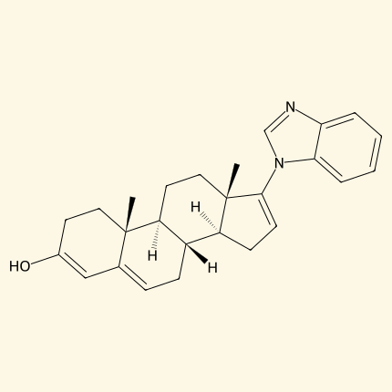 C[C@]12CCC(O)=CC1=CC[C@@H]1[C@@H]2CC[C@]2(C)C(n3cnc4ccccc43)=CC[C@@H]12